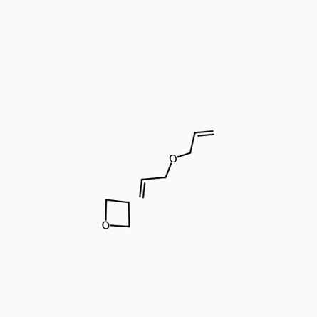 C1COC1.C=CCOCC=C